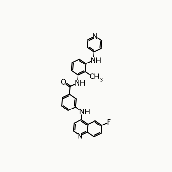 Cc1c(NC(=O)c2cccc(Nc3ccnc4ccc(F)cc34)c2)cccc1Nc1ccncc1